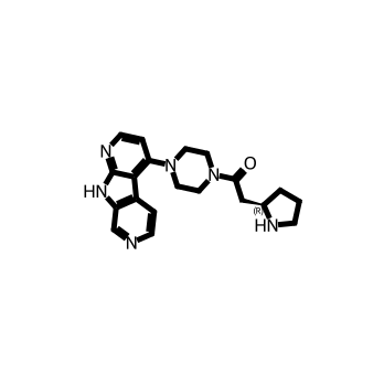 O=C(C[C@H]1CCCN1)N1CCN(c2ccnc3[nH]c4cnccc4c23)CC1